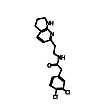 O=C(Cc1ccc(Cl)c(Cl)c1)NCCc1ccc2c(n1)NCCC2